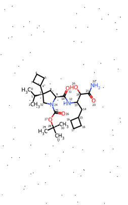 CC(C)[C@@]1(C2CCC2)C[C@@H](C(=O)NC(CC2CCC2)C(O)C(N)=O)N(C(=O)OC(C)(C)C)C1